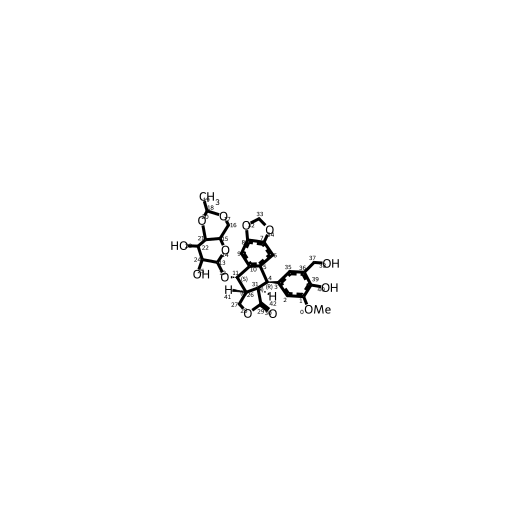 COc1cc([C@@H]2c3cc4c(cc3[C@@H](OC3OC5COC(C)OC5C(O)C3O)[C@H]3COC(=O)[C@H]23)OCO4)cc(CO)c1O